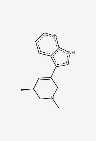 C[C@H]1C=C(c2c[nH]c3ncccc23)CN(C)C1